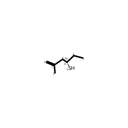 C=C(C)C[C@@H](S)CC